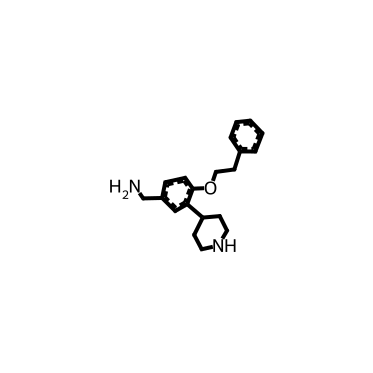 NCc1ccc(OCCc2ccccc2)c(C2CCNCC2)c1